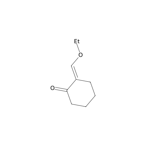 CCOC=C1CCCCC1=O